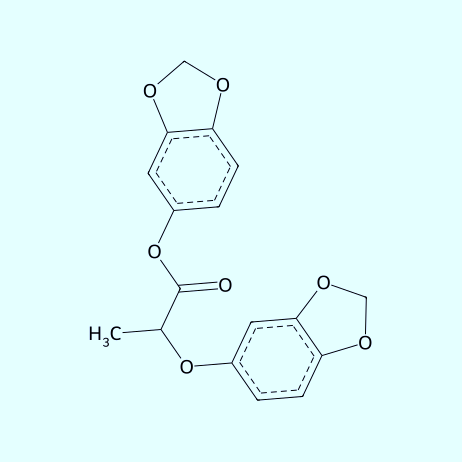 CC(Oc1ccc2c(c1)OCO2)C(=O)Oc1ccc2c(c1)OCO2